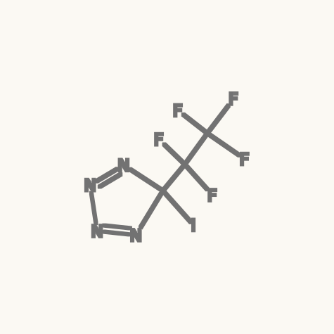 FC(F)(F)C(F)(F)C1(I)N=NN=N1